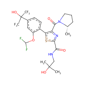 C[C@H]1CCCN1C(=O)c1nc(C(=O)NCC(C)(C)O)sc1-c1ccc(C(O)(C(F)(F)F)C(F)(F)F)cc1OC(F)F